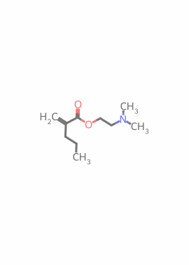 C=C(CCC)C(=O)OCCN(C)C